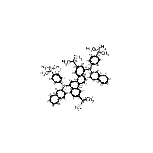 CC(C)c1ccc2c(N(c3ccc([Si](C)(C)C)cc3)c3ccc4ccccc4c3)cc3c4cc(C(C)C)cc(N(c5ccc([Si](C)(C)C)cc5)c5ccc6ccccc6c5)c4ccc3c2c1